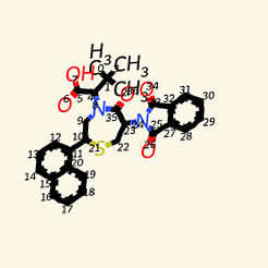 CC(C)(C)C(C(=O)O)N1CC(c2cccc3ccccc23)SCC(N2C(=O)c3ccccc3C2=O)C1=O